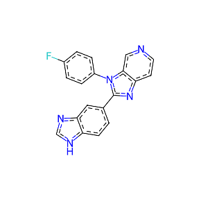 Fc1ccc(-n2c(-c3ccc4[nH]cnc4c3)nc3ccncc32)cc1